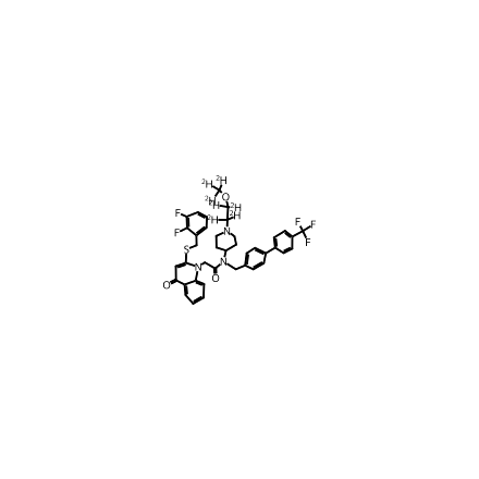 [2H]C([2H])([2H])OC([2H])([2H])C([2H])([2H])N1CCC(N(Cc2ccc(-c3ccc(C(F)(F)F)cc3)cc2)C(=O)Cn2c(SCc3cccc(F)c3F)cc(=O)c3ccccc32)CC1